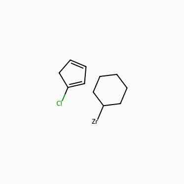 ClC1=CC=CC1.[Zr][CH]1CCCCC1